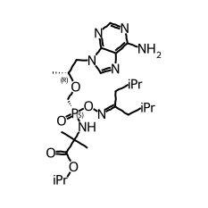 CC(C)CC(CC(C)C)=NO[P@@](=O)(CO[C@H](C)Cn1cnc2c(N)ncnc21)NC(C)(C)C(=O)OC(C)C